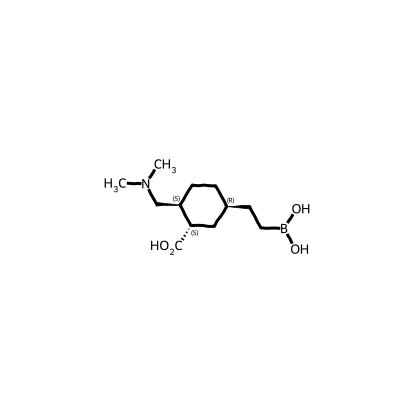 CN(C)C[C@H]1CC[C@@H](CCB(O)O)C[C@@H]1C(=O)O